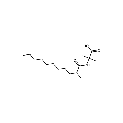 CCCCCCCCCC(C)C(=O)NC(C)(C)C(=O)O